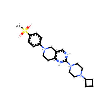 CS(=O)(=O)c1ccc(N2CCc3nc(N4CCN(C5CCC5)CC4)ncc3C2)cc1